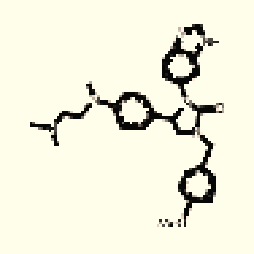 COc1ccc(CN2CC(c3ccc(N(C)CCN(C)C)cc3)N(c3ccc4nc[nH]c4c3)C2=O)cc1